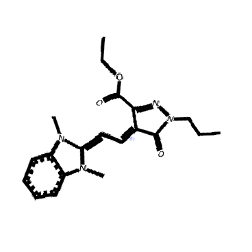 CCCN1N=C(C(=O)OCC)/C(=C\C=C2N(C)c3ccccc3N2C)C1=O